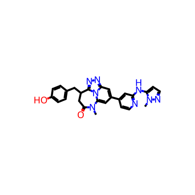 CN1C(=O)CC(Cc2ccc(O)cc2)c2nnc3cc(-c4ccnc(Nc5ccnn5C)c4)cc1n23